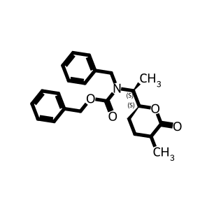 CC1CC[C@@H]([C@H](C)N(Cc2ccccc2)C(=O)OCc2ccccc2)OC1=O